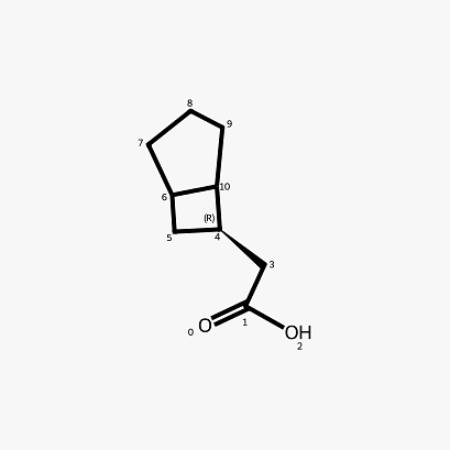 O=C(O)C[C@H]1CC2CCCC21